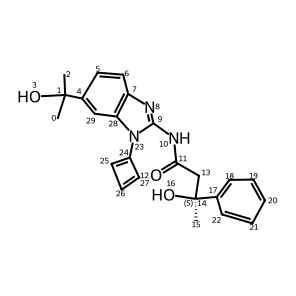 CC(C)(O)c1ccc2nc(NC(=O)C[C@](C)(O)c3ccccc3)n(C3=CC=C3)c2c1